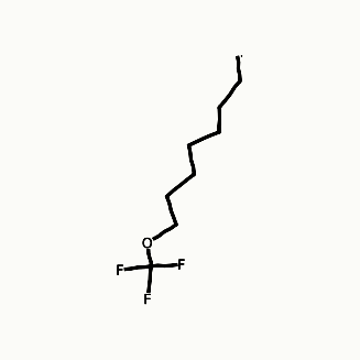 [CH2]CCCCCCCOC(F)(F)F